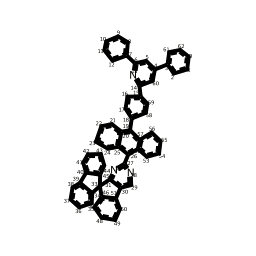 c1ccc(-c2cc(-c3ccccc3)nc(-c3ccc(-c4c5ccccc5c(-c5ncc6c(n5)C5(c7ccccc7-c7ccccc75)c5ccccc5-6)c5ccccc45)cc3)c2)cc1